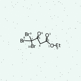 CCOC(=O)CC(=O)C(Br)(Br)Br